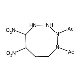 CC(=O)N1CCC([N+](=O)[O-])C([N+](=O)[O-])NNN1C(C)=O